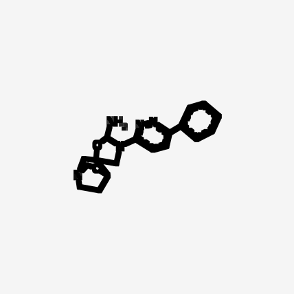 NC1OC2(CN3CCC2CC3)CN1c1ccc(-c2ccccc2)nn1